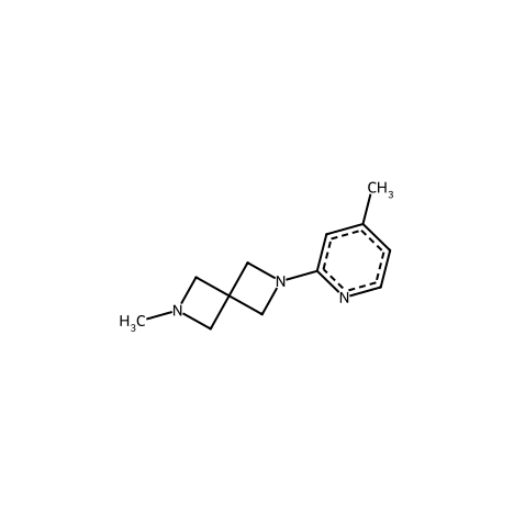 Cc1ccnc(N2CC3(CN(C)C3)C2)c1